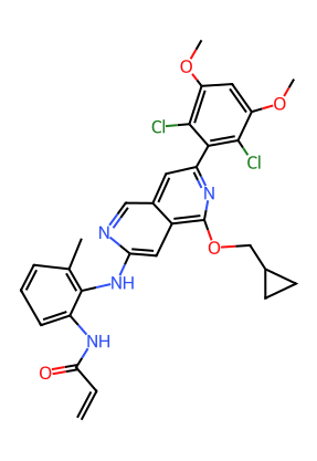 C=CC(=O)Nc1cccc(C)c1Nc1cc2c(OCC3CC3)nc(-c3c(Cl)c(OC)cc(OC)c3Cl)cc2cn1